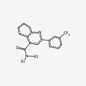 CCN(CC)C(=O)c1cc(-c2cccc(C(F)(F)F)c2)nc2ccccc12